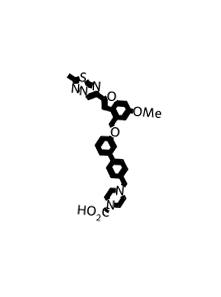 COc1cc(COc2cccc(-c3ccc(CN4CCN(C(=O)O)CC4)cc3)c2)c2cc(-c3cn4nc(C)sc4n3)oc2c1